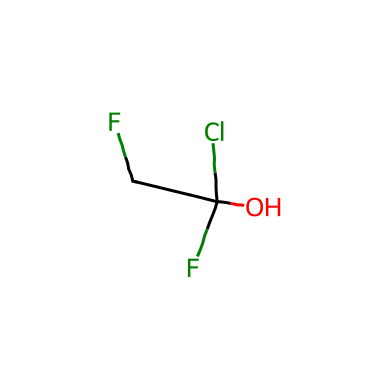 OC(F)(Cl)CF